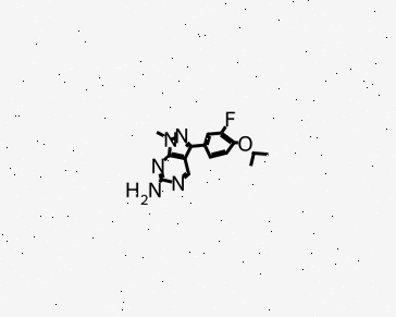 CC(C)Oc1ccc(-c2nn(C)c3nc(N)ncc23)cc1F